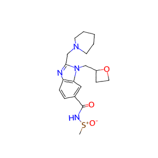 C[S+]([O-])NC(=O)c1ccc2nc(CN3CCCCC3)n(CC3CCO3)c2c1